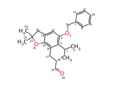 CC(C)c1c(OCc2ccccc2)cc2c(c1CCC=O)OC(C)(C)C2